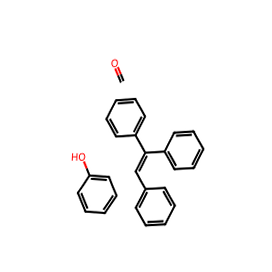 C(=C(c1ccccc1)c1ccccc1)c1ccccc1.C=O.Oc1ccccc1